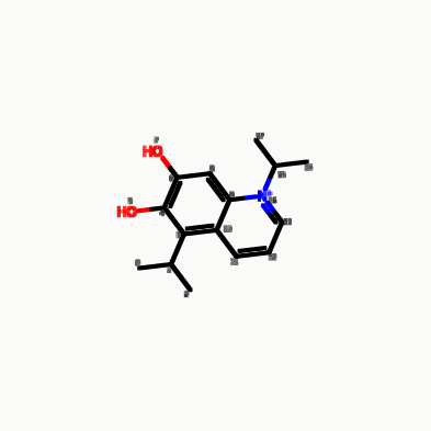 CC(C)c1c(O)c(O)cc2c1ccc[n+]2C(C)C